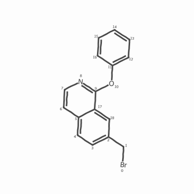 BrCc1ccc2ccnc(Oc3ccccc3)c2c1